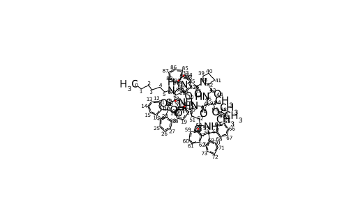 CCCCCCN[C@@H](CSC(c1ccccc1)(c1ccccc1)c1ccccc1)C(=O)N1CCC[C@H]1C(=O)N1CCC[C@H]1C(=O)N[C@H](C(=O)N[C@@H](CCC(=O)NC(c1ccccc1)(c1ccccc1)c1ccccc1)C(=O)N[C@@H](Cc1cccc2ccccc12)C(=O)O)[C@@H](C)OC(C)(C)C